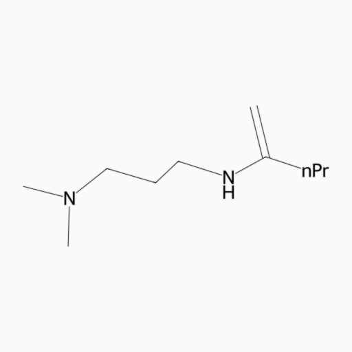 C=C(CCC)NCCCN(C)C